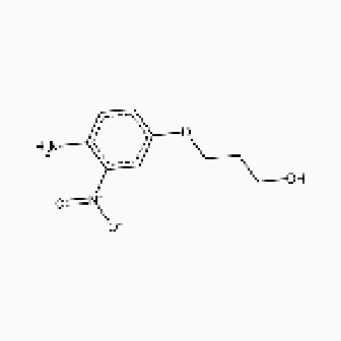 Nc1ccc(OCCCO)cc1[N+](=O)[O-]